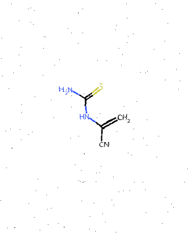 C=C(C#N)NC(N)=S